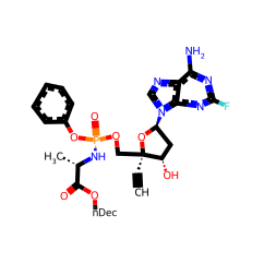 C#C[C@]1(CO[P@@](=O)(N[C@@H](C)C(=O)OCCCCCCCCCC)Oc2ccccc2)O[C@@H](n2cnc3c(N)nc(F)nc32)C[C@@H]1O